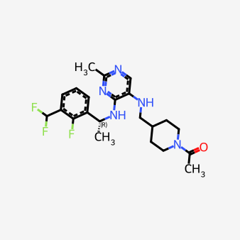 CC(=O)N1CCC(CNc2cnc(C)nc2N[C@H](C)c2cccc(C(F)F)c2F)CC1